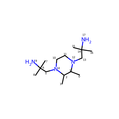 CC1C(C)N(CC(C)(C)N)CCN1CC(C)(C)N